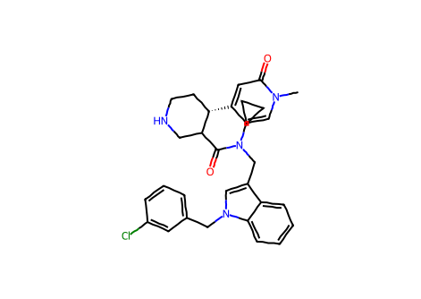 Cn1ccc([C@H]2CCNCC2C(=O)N(Cc2cn(Cc3cccc(Cl)c3)c3ccccc23)C2CC2)cc1=O